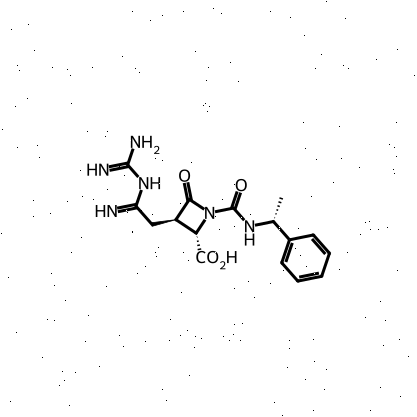 C[C@@H](NC(=O)N1C(=O)[C@H](CC(=N)NC(=N)N)[C@H]1C(=O)O)c1ccccc1